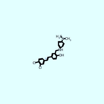 CN(C)c1ccc(NCc2cc(/C=C/c3ccc(Cl)c(Cl)c3)ccc2O)cc1